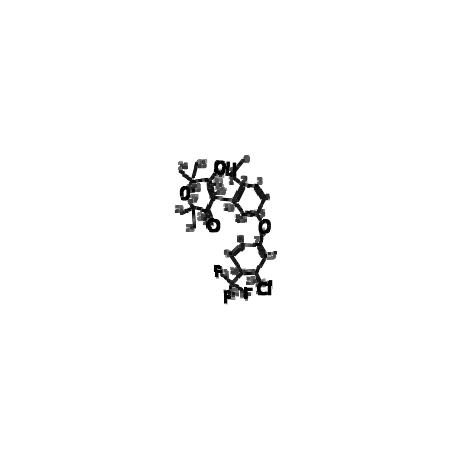 CCc1ccc(Oc2ccc(C(F)(F)F)c(Cl)c2)cc1C1=C(O)C(C)(C)OC(C)(C)C1=O